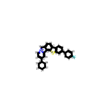 FC1=CCC(c2ccc3c(c2)sc2c4c(ccc23)C[n+]2ccc(C3CCCCC3)cc2-4)C=C1